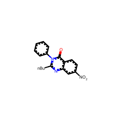 CCCCc1nc2cc([N+](=O)[O-])ccc2c(=O)n1-c1ccccc1